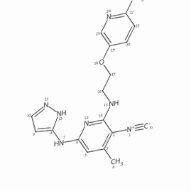 [C-]#[N+]c1c(C)cc(Nc2ccn[nH]2)nc1NCCOc1ccc(C)nc1